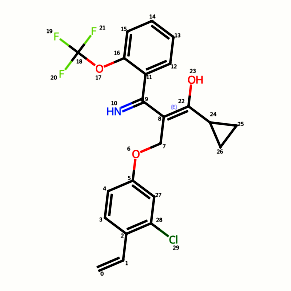 C=Cc1ccc(OC/C(C(=N)c2ccccc2OC(F)(F)F)=C(/O)C2CC2)cc1Cl